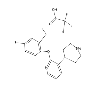 CCc1cc(F)ccc1Oc1ncccc1C1CCNCC1.O=C(O)C(F)(F)F